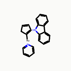 [Ru][C]1=CC=CC1.c1ccc2c(c1)[nH]c1ccccc12.c1ccncc1